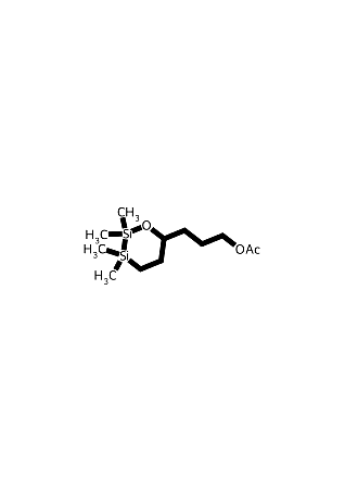 CC(=O)OCCCC1CC[Si](C)(C)[Si](C)(C)O1